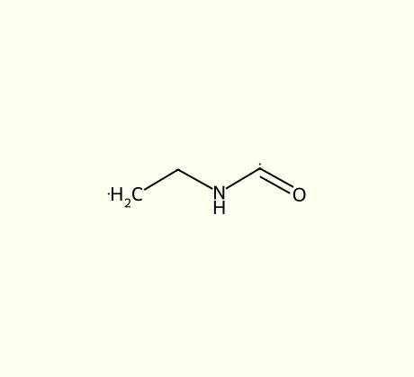 [CH2]CN[C]=O